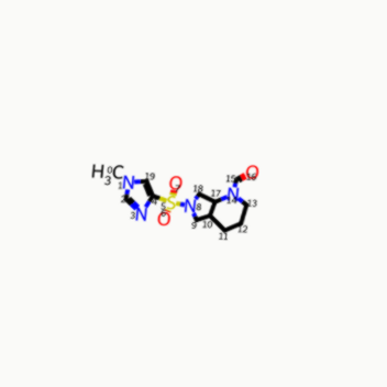 Cn1cnc(S(=O)(=O)N2CC3CCCN(C=O)C3C2)c1